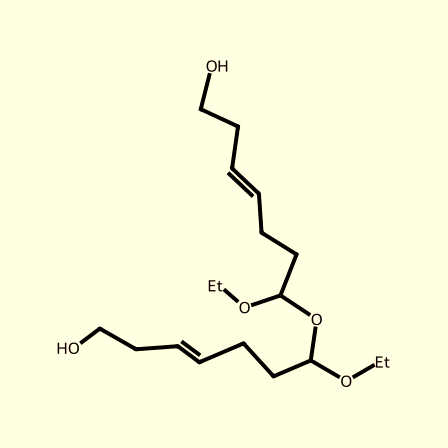 CCOC(CCC=CCCO)OC(CCC=CCCO)OCC